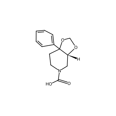 O=C(O)N1CCC2(c3ccccc3)OCO[C@@H]2C1